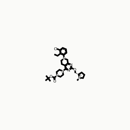 CCc1c(Cl)cccc1N1CCc2c(nc(OC[C@@H]3CCCN3C)nc2N2CCN(C(=O)OC(C)(C)C)CC2)C1